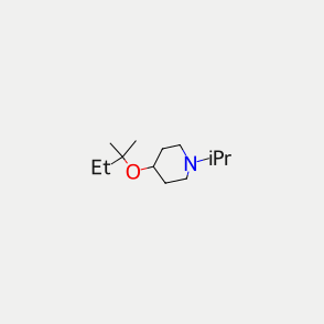 CCC(C)(C)OC1CCN(C(C)C)CC1